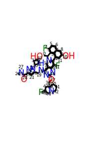 CCc1c(F)ccc2cc(O)cc(-c3ncc4c(NCc5cc(C(=O)N(C)C)nn5[C@H]5C[C@H](O)C5)nc(OC[C@@]56CCCN5C[C@H](F)C6)nc4c3F)c12